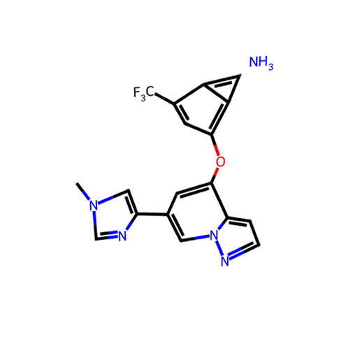 Cn1cnc(-c2cc(Oc3cc(C(F)(F)F)c4cc3-4)c3ccnn3c2)c1.N